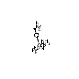 CC(=O)NC1CC1c1ccc(C#Cc2cn(CC(F)(F)F)c3ncnc(N)c23)cc1